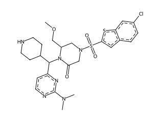 COCC1CN(S(=O)(=O)c2cc3ccc(Cl)cc3s2)CC(=O)N1C(c1ccnc(N(C)C)n1)C1CCNCC1